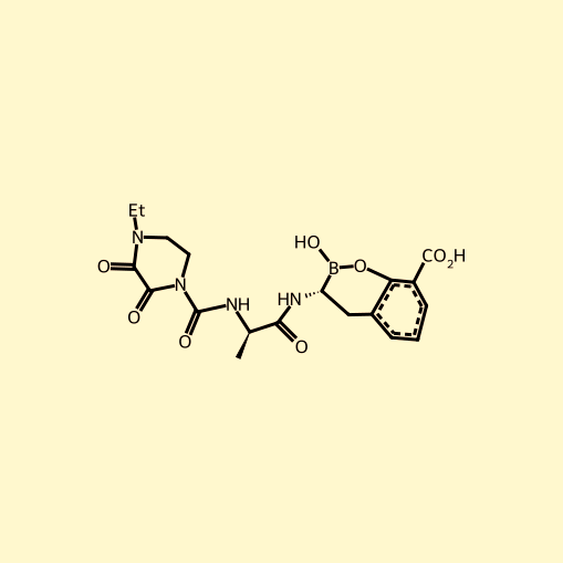 CCN1CCN(C(=O)N[C@H](C)C(=O)N[C@H]2Cc3cccc(C(=O)O)c3OB2O)C(=O)C1=O